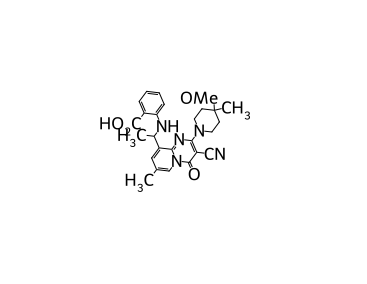 COC1(C)CCN(c2nc3c(C(C)Nc4ccccc4C(=O)O)cc(C)cn3c(=O)c2C#N)CC1